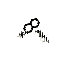 [HH].[HH].[HH].[HH].[HH].[HH].[HH].[HH].c1ccc2cnccc2c1